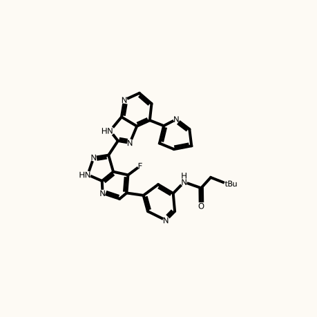 CC(C)(C)CC(=O)Nc1cncc(-c2cnc3[nH]nc(-c4nc5c(-c6ccccn6)ccnc5[nH]4)c3c2F)c1